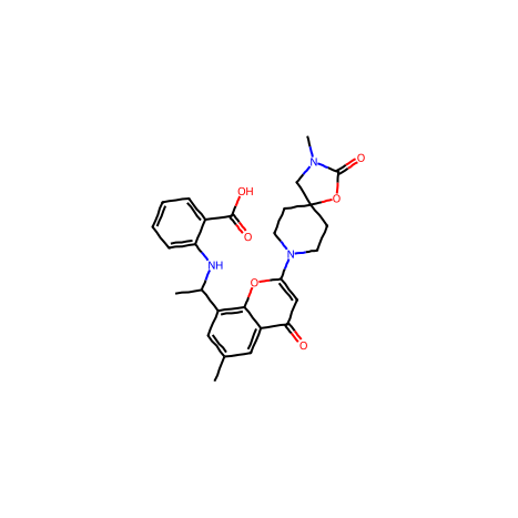 Cc1cc(C(C)Nc2ccccc2C(=O)O)c2oc(N3CCC4(CC3)CN(C)C(=O)O4)cc(=O)c2c1